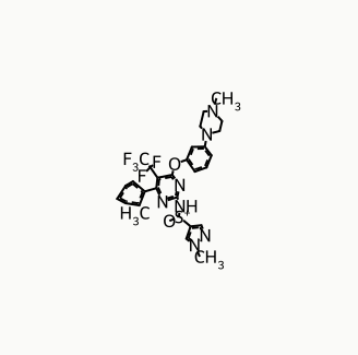 Cc1ccccc1-c1nc(N[S+]([O-])c2cnn(C)c2)nc(Oc2cccc(N3CCN(C)CC3)c2)c1C(F)(F)C(F)(F)F